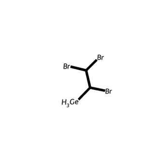 [GeH3][CH](Br)C(Br)Br